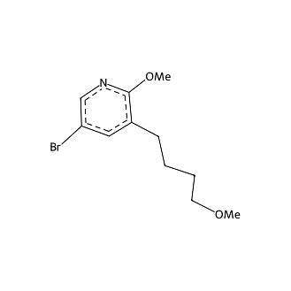 COCCCCc1cc(Br)cnc1OC